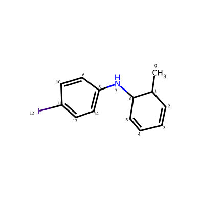 CC1C=CC=CC1Nc1ccc(I)cc1